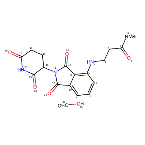 CNC(=O)CCNc1cccc2c1C(=O)N(C1CCC(=O)NC1=O)C2=O.O=CO